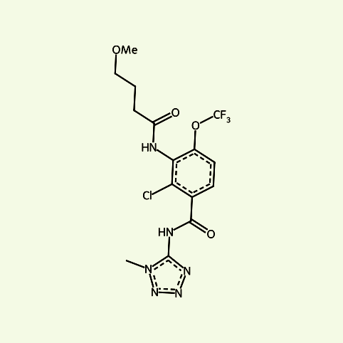 COCCCC(=O)Nc1c(OC(F)(F)F)ccc(C(=O)Nc2nnnn2C)c1Cl